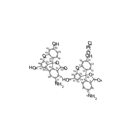 Nc1ccc2c(c1)C(=O)OC21c2ccc(O)cc2Oc2cc(O)ccc21.Nc1ccc2c(c1)C(=O)OC21c2ccc(O)cc2Oc2cc(O)ccc21.[Cl][Pt][Cl]